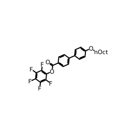 CCCCCCCCOc1ccc(-c2ccc(C(=O)Oc3c(F)c(F)c(F)c(F)c3F)cc2)cc1